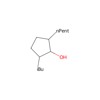 CCCCCC1CCC(C(C)CC)C1O